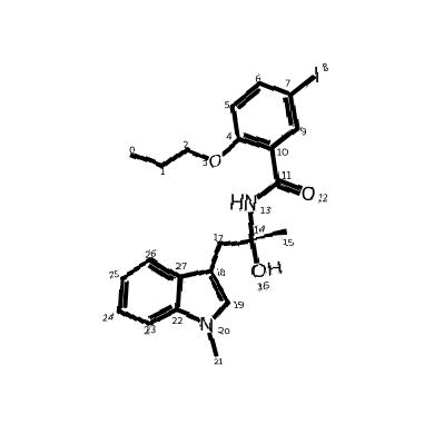 CCCOc1ccc(I)cc1C(=O)N[C@](C)(O)Cc1cn(C)c2ccccc12